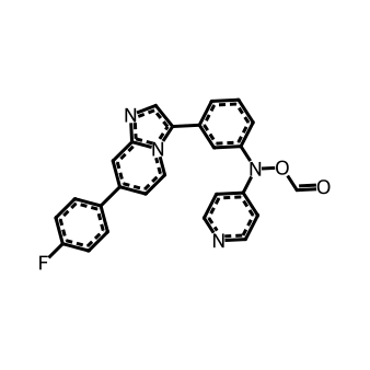 O=CON(c1ccncc1)c1cccc(-c2cnc3cc(-c4ccc(F)cc4)ccn23)c1